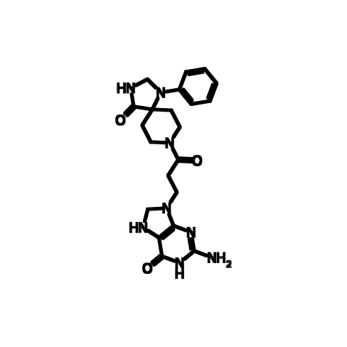 Nc1nc2c(c(=O)[nH]1)NCN2CCC(=O)N1CCC2(CC1)C(=O)NCN2c1ccccc1